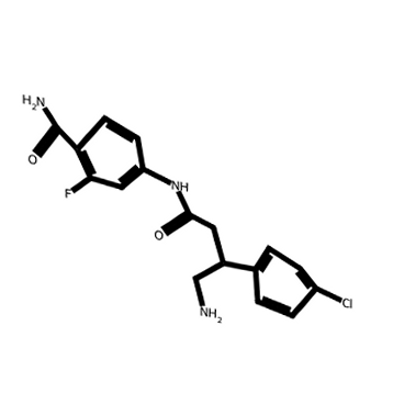 NCC(CC(=O)Nc1ccc(C(N)=O)c(F)c1)c1ccc(Cl)cc1